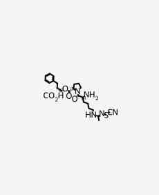 CC(=NSC#N)NCCCC[C@H](N)C(=O)N1CCC[C@H]1C(=O)O[C@@H](CCc1ccccc1)C(=O)O